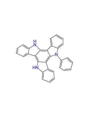 c1ccc(-n2c3ccccc3c3c4[nH]c5ccccc5c4c4[nH]c5ccccc5c4c32)cc1